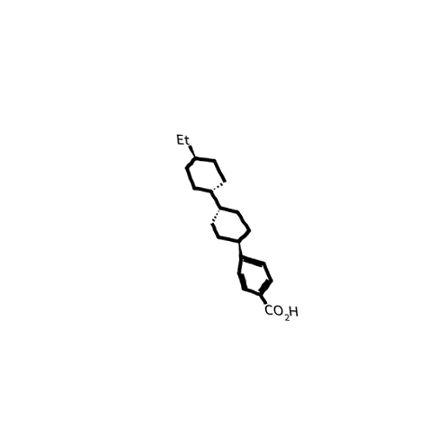 CC[C@H]1CC[C@H]([C@H]2CC[C@H](c3ccc(C(=O)O)cc3)CC2)CC1